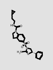 NC1=N[C@@H](c2ccccc2)CN1S(=O)(=O)c1ccc2c(c1)CCN2C(=O)NCCC1CC1